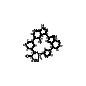 CCCCC(=O)Nc1cncc(-c2cnc3[nH]nc(-c4nc5c(-n6cnc(C)c6)ccnc5[nH]4)c3c2F)c1